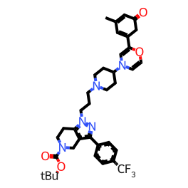 CC1=CC(=O)CC(C2=CN(C3CCN(CCCn4nc(-c5ccc(C(F)(F)F)cc5)c5c4CCN(C(=O)OC(C)(C)C)C5)CC3)C=CO2)=C1